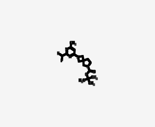 Cc1cc(N2CC3(CCN(C(=O)OC(C)(C)C)C3)C2)nc(C(F)F)n1